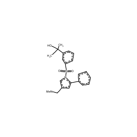 CNCc1cc(-c2ccccc2)n(S(=O)(=O)c2cccc(C(C)(C)O)c2)c1